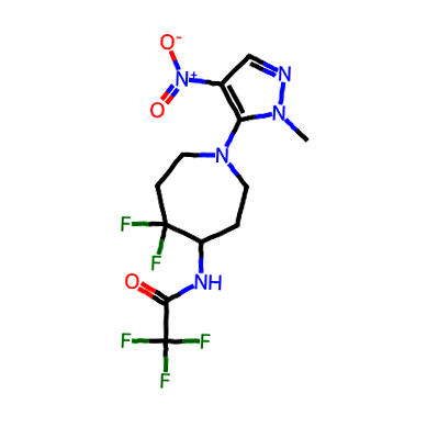 Cn1ncc([N+](=O)[O-])c1N1CCC(NC(=O)C(F)(F)F)C(F)(F)CC1